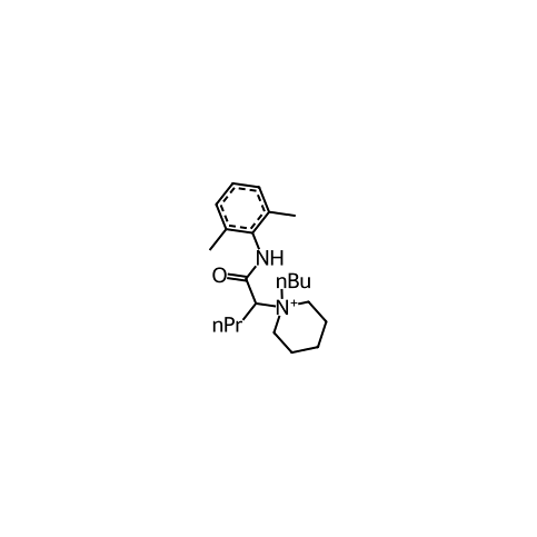 CCCC[N+]1(C(CCC)C(=O)Nc2c(C)cccc2C)CCCCC1